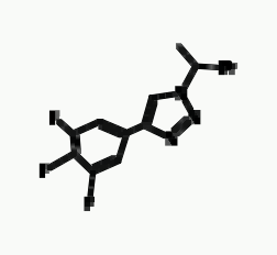 CC(C)C(C)n1cc(-c2cc(F)c(F)c(F)c2)nn1